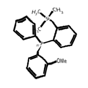 COc1ccccc1[P@@](c1ccccc1)c1ccccc1[Si](C)(C)C